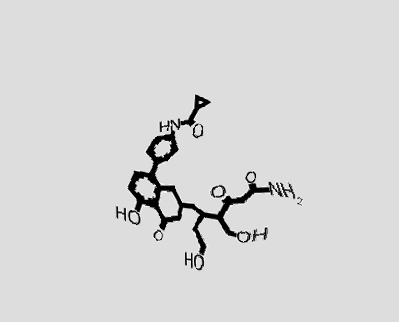 NC(=O)CC(=O)C(CO)C(CCO)CC1CC(=O)c2c(O)ccc(-c3ccc(NC(=O)C4CC4)cc3)c2C1